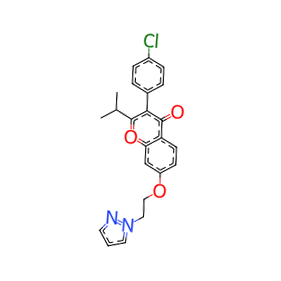 CC(C)c1oc2cc(OCCn3cccn3)ccc2c(=O)c1-c1ccc(Cl)cc1